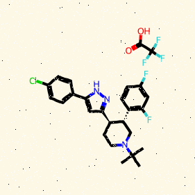 CC(C)(C)N1CC[C@@H](c2cc(-c3ccc(Cl)cc3)[nH]n2)[C@H](c2ccc(F)cc2F)C1.O=C(O)C(F)(F)F